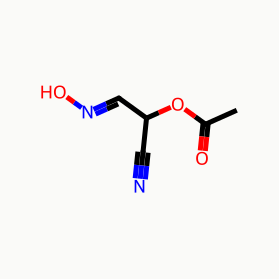 CC(=O)OC(C#N)C=NO